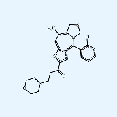 CC1=C2CSCN2C(c2ccccc2Cl)=c2cc(C(=O)CCN3CCOCC3)sc2=C1